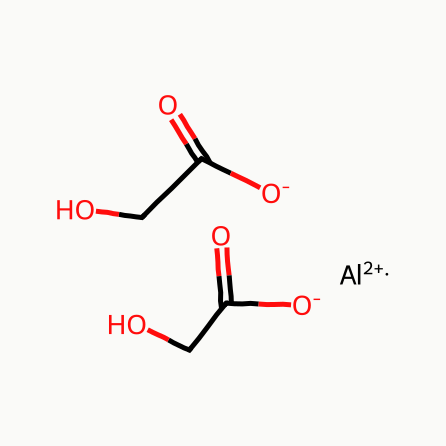 O=C([O-])CO.O=C([O-])CO.[Al+2]